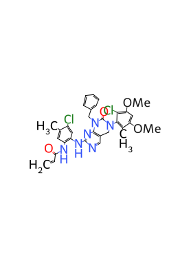 C=CC(=O)Nc1cc(C)c(Cl)cc1Nc1ncc2c(n1)N(Cc1ccccc1)C(=O)N(c1c(C)c(OC)cc(OC)c1Cl)C2